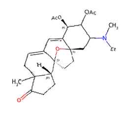 CCN(C)C1C[C@@]23CC[C@@]4(O2)C(=CCC2(C)C(=O)CC[C@H]24)C=C3[C@@H](OC(C)=O)C1OC(C)=O